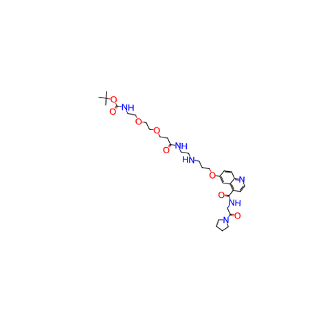 CC(C)(C)OC(=O)NCCOCCOCCC(=O)NCCNCCCOc1ccc2nccc(C(=O)NCC(=O)N3CCCC3)c2c1